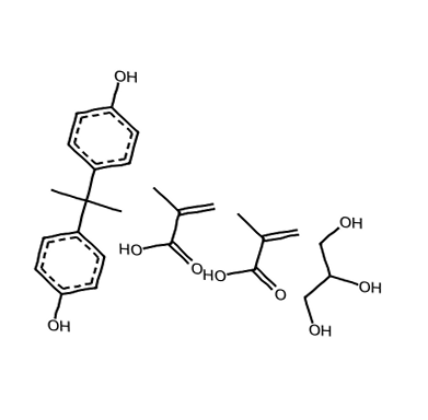 C=C(C)C(=O)O.C=C(C)C(=O)O.CC(C)(c1ccc(O)cc1)c1ccc(O)cc1.OCC(O)CO